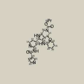 CC(C)OC(=O)N1CC(=O)c2c([nH]c(-c3ccnc(NC(=O)c4cncs4)c3)c2Nc2ccccc2)C1